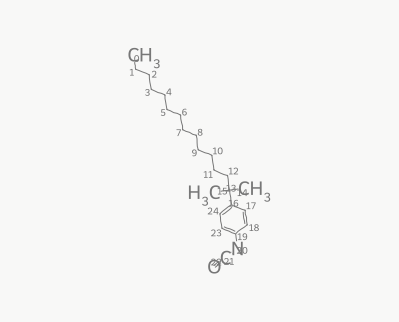 CCCCCCCCCCCCCC(C)(C)c1ccc(N=C=O)cc1